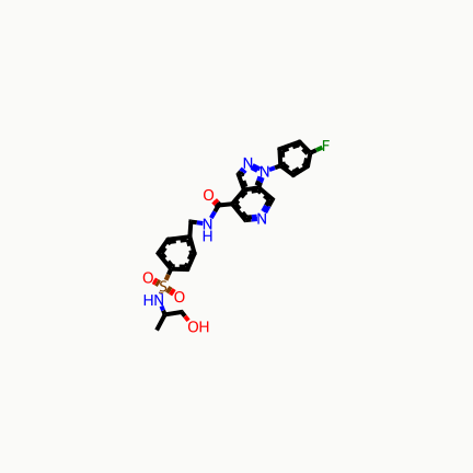 CC(CO)NS(=O)(=O)c1ccc(CNC(=O)c2cncc3c2cnn3-c2ccc(F)cc2)cc1